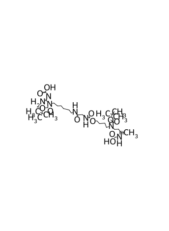 C[C@H](CCN(CCCCOC(=O)NCC(=O)NCCCCCCN(C(=O)OC(C)(C)C)C(N)=NC(=O)O)C(=O)OC(C)(C)C)NC(=O)O